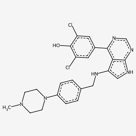 CN1CCN(c2ccc(CNc3c[nH]c4ncnc(-c5cc(Cl)c(O)c(Cl)c5)c34)cc2)CC1